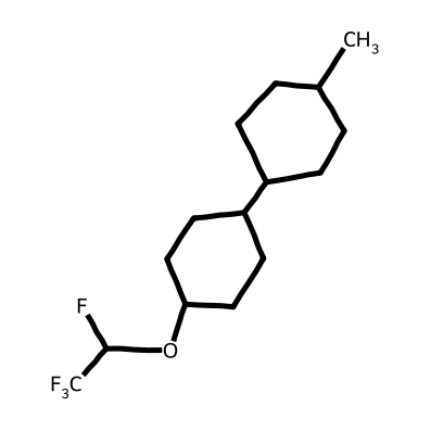 CC1CCC(C2CCC(OC(F)C(F)(F)F)CC2)CC1